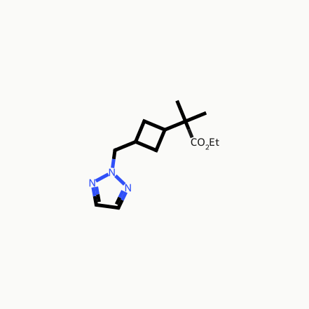 CCOC(=O)C(C)(C)C1CC(Cn2nccn2)C1